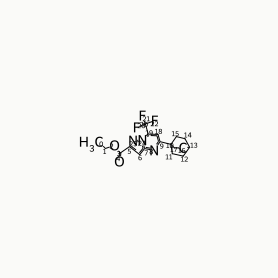 CCOC(=O)c1cc2nc(C34CCC(CC3)CC4)cc(C(F)(F)F)n2n1